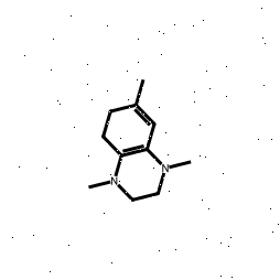 CC1=CC2=C(CC1)N(C)CCN2C